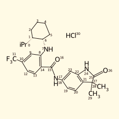 CC(C)[C@@H]1CCCC[C@@H]1Nc1cc(C(F)(F)F)ccc1C(=O)Nc1ccc2c(c1)NC(=O)C2(C)C.Cl